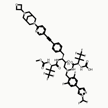 COC(=O)N[C@H](C(=O)N[C@@H](Cc1ccc(C#Cc2ccc(N3CC4CC(C3)CN(C3COC3)C4)nc2)cc1)[C@@H](O)CN(Cc1c(F)cc(-c2cnn(C(F)F)c2)cc1F)NC(=O)[C@@H](NC(=O)O)C(C)(C)C(F)(F)F)C(C)(C)C(F)(F)F